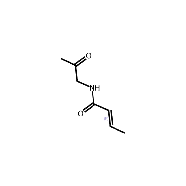 C/C=C/C(=O)NCC(C)=O